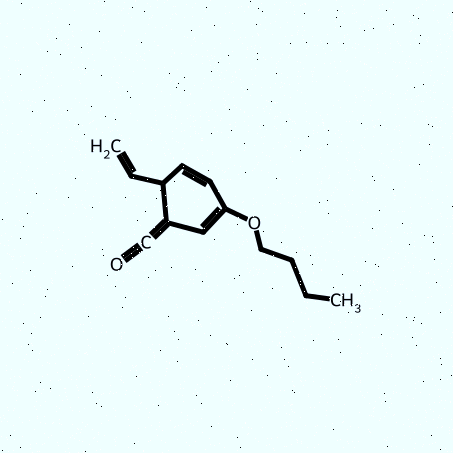 C=CC1C=CC(OCCCC)=CC1=C=O